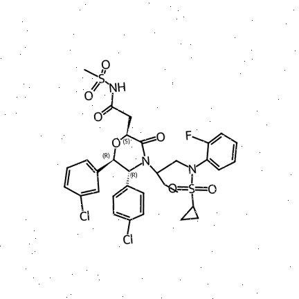 CCC(CN(c1ccccc1F)S(=O)(=O)C1CC1)N1C(=O)[C@H](CC(=O)NS(C)(=O)=O)O[C@H](c2cccc(Cl)c2)[C@H]1c1ccc(Cl)cc1